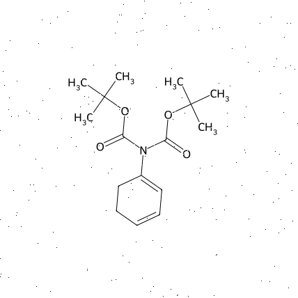 CC(C)(C)OC(=O)N(C(=O)OC(C)(C)C)C1=CC=CCC1